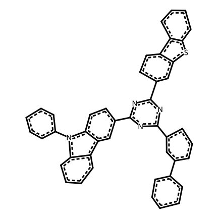 c1ccc(-c2cccc(-c3nc(-c4ccc5c(c4)sc4ccccc45)nc(-c4ccc5c(c4)c4ccccc4n5-c4ccccc4)n3)c2)cc1